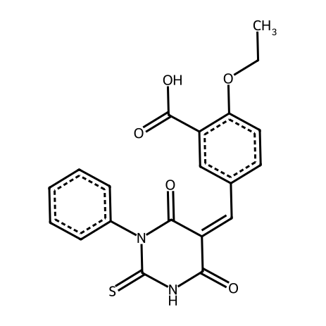 CCOc1ccc(/C=C2/C(=O)NC(=S)N(c3ccccc3)C2=O)cc1C(=O)O